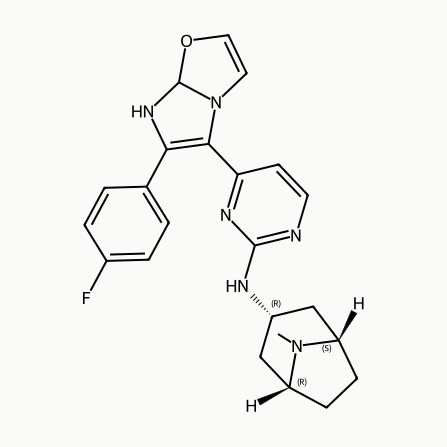 CN1[C@@H]2CC[C@H]1C[C@@H](Nc1nccc(C3=C(c4ccc(F)cc4)NC4OC=CN34)n1)C2